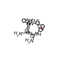 CN1C(=O)[C@H](CCCCN)NC(=O)[C@H](CCCN)NCc2ccccc2Sc2c(-c3cccnc3)cnc(Cl)c2CNC(=O)[C@@H]1Cc1c[nH]c2ccccc12